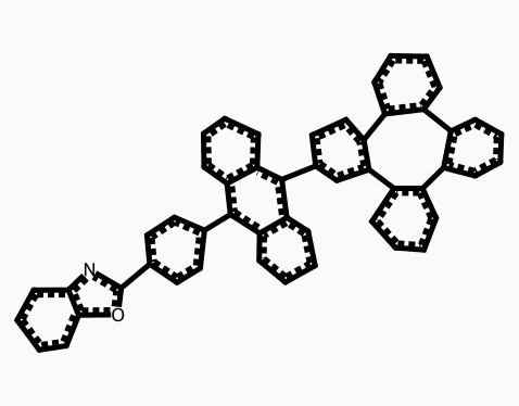 c1ccc2c(c1)-c1ccccc1-c1ccc(-c3c4ccccc4c(-c4ccc(-c5nc6ccccc6o5)cc4)c4ccccc34)cc1-c1ccccc1-2